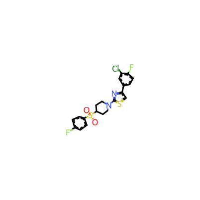 O=S(=O)(c1ccc(F)cc1)C1CCN(c2nc(-c3ccc(F)c(Cl)c3)cs2)CC1